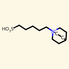 O=S(=O)(O)CCCCC[N+]12CCC(CC1)CC2